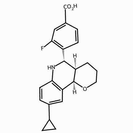 O=C(O)c1ccc([C@H]2Nc3ccc(C4CC4)cc3[C@@H]3OCCC[C@H]23)c(F)c1